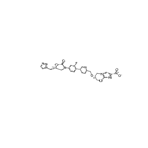 O=C1O[C@H](Cn2ccnn2)CN1c1ccc(-c2ccc(CO[C@H]3COc4nc([N+](=O)[O-])cn4C3)nc2)c(F)c1